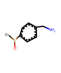 CC[S+]([O-])c1ccc(CN)cc1